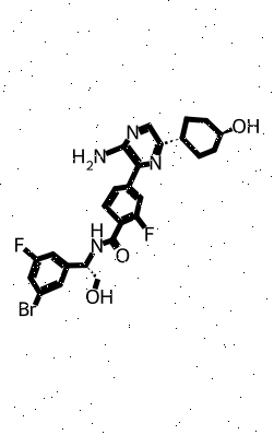 Nc1ncc([C@H]2CC[C@H](O)CC2)nc1-c1ccc(C(=O)N[C@H](CO)c2cc(F)cc(Br)c2)c(F)c1